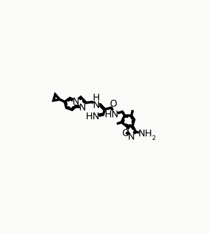 Cc1cc2c(N)noc2c(C)c1CNC(=O)/C(C=N)=C/NCc1cn2cc(C3CC3)ccc2n1